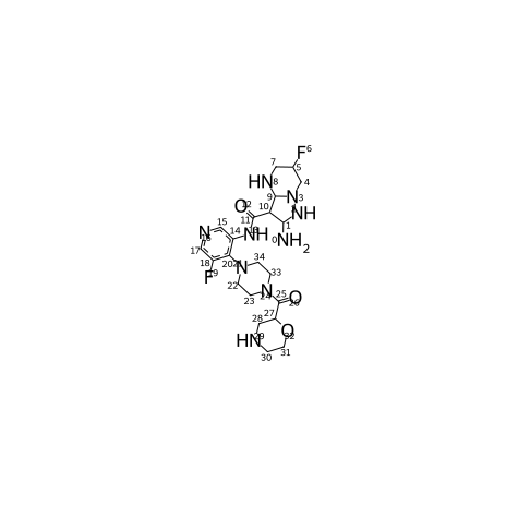 NC1NN2CC(F)CNC2C1C(=O)Nc1cncc(F)c1N1CCN(C(=O)C2CNCCO2)CC1